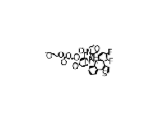 COCCOC(=O)OCOc1c2n(ccc1=O)N([C@@H]1c3ccccc3-c3sccc3-c3c1ccc(F)c3F)[C@@H]1COCCN1C2=O